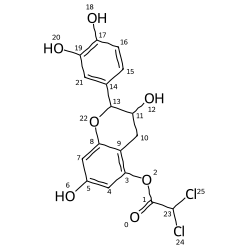 O=C(Oc1cc(O)cc2c1CC(O)C(c1ccc(O)c(O)c1)O2)C(Cl)Cl